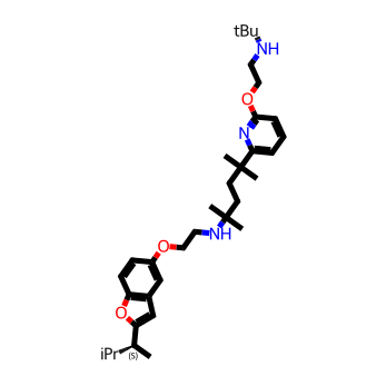 CC(C)[C@H](C)c1cc2cc(OCCNC(C)(C)CCC(C)(C)c3cccc(OCCNC(C)(C)C)n3)ccc2o1